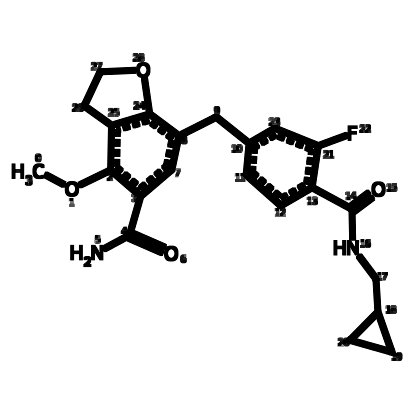 COc1c(C(N)=O)cc(Cc2ccc(C(=O)NCC3CC3)c(F)c2)c2c1CCO2